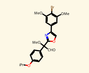 COc1cc(-c2coc(C(C=O)(OC)c3ccc(OC(C)C)cc3)n2)cc(OC)c1Br